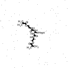 C=C(C)C(=O)OCCNC(=O)NC(CCCCCCC)NC(=O)NCCOC(=O)C(=C)C